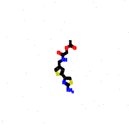 CC(=O)OCC(=O)NCc1csc(-c2csc(N)n2)c1